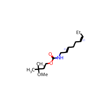 CC/C=C\CC/C=C/CNC(=O)OCCC(C)(C)OC